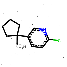 O=C(O)C1(c2ccc(Cl)nc2)CCCC1